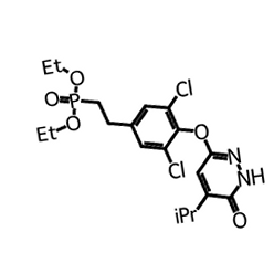 CCOP(=O)(CCc1cc(Cl)c(Oc2cc(C(C)C)c(=O)[nH]n2)c(Cl)c1)OCC